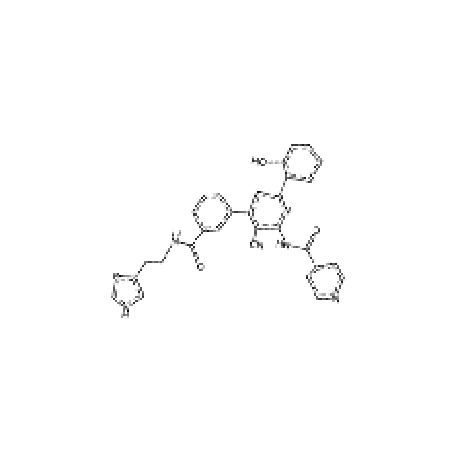 N#Cc1c(-c2cccc(C(=O)NCCc3c[nH]cn3)c2)cc(-c2ccccc2O)nc1NC(=O)c1ccncc1